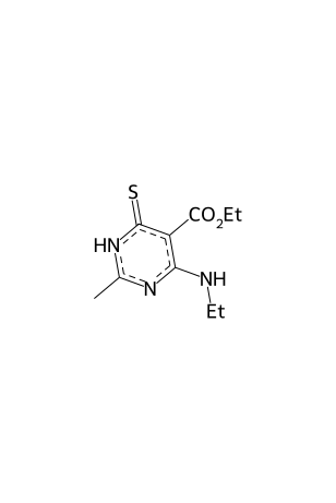 CCNc1nc(C)[nH]c(=S)c1C(=O)OCC